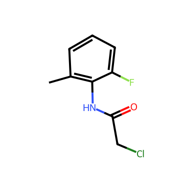 Cc1cccc(F)c1NC(=O)CCl